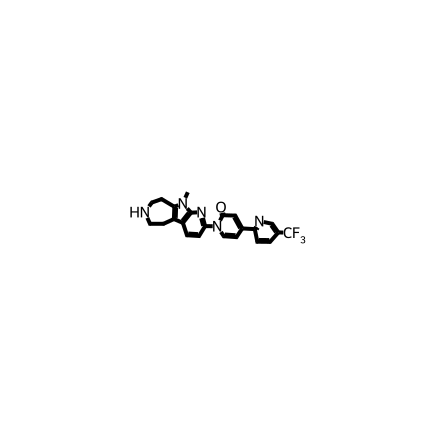 Cn1c2c(c3ccc(-n4ccc(-c5ccc(C(F)(F)F)cn5)cc4=O)nc31)CCNCC2